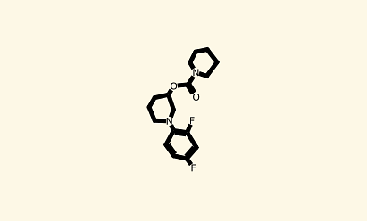 O=C(OC1CCCN(c2ccc(F)cc2F)C1)N1CCCCC1